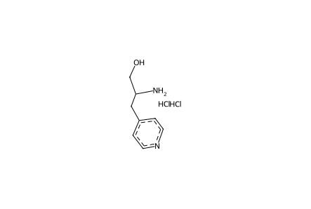 Cl.Cl.NC(CO)Cc1ccncc1